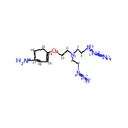 [N-]=[N+]=NCCN(CCN=[N+]=[N-])CCOC1=CC=C(N)CC1